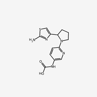 Nc1nc(C2CCCN2c2ccc(NC(=O)O)cn2)cs1